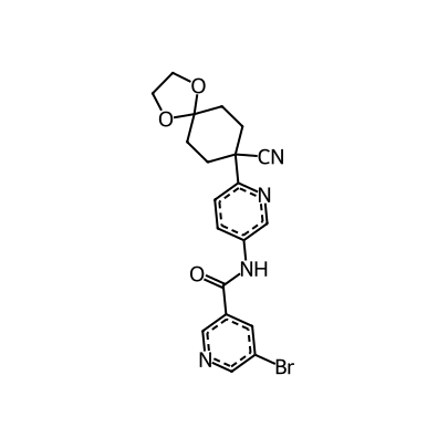 N#CC1(c2ccc(NC(=O)c3cncc(Br)c3)cn2)CCC2(CC1)OCCO2